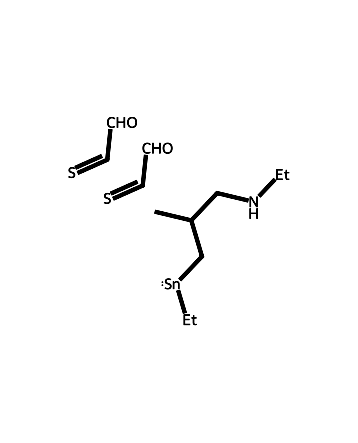 CCNCC(C)[CH2][Sn][CH2]C.O=CC=S.O=CC=S